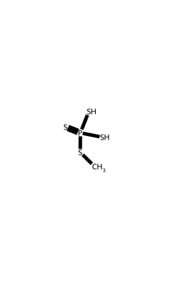 CSP(=S)(S)S